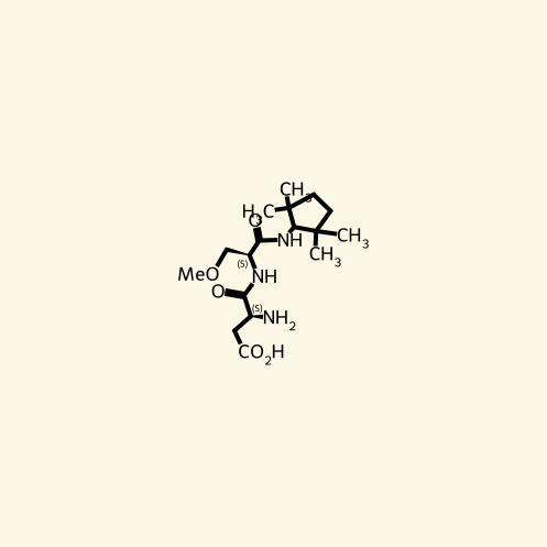 COC[C@H](NC(=O)[C@@H](N)CC(=O)O)C(=O)NC1C(C)(C)CCC1(C)C